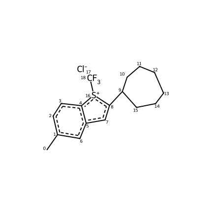 Cc1ccc2c(c1)cc(C1CCCCCC1)[s+]2C(F)(F)F.[Cl-]